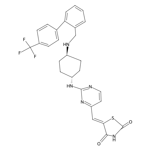 O=C1NC(=O)/C(=C/c2ccnc(N[C@H]3CC[C@H](NCc4ccccc4-c4ccc(C(F)(F)F)cc4)CC3)n2)S1